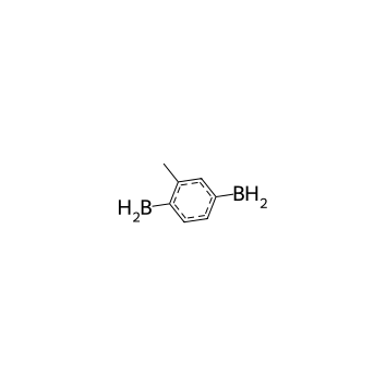 Bc1ccc(B)c(C)c1